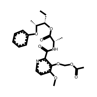 CC[C@H](OC(=O)[C@H](C)NC(=O)c1nccc(OC)c1OCOC(C)=O)[C@@H](C)Oc1ccccc1